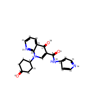 O=C1CCC(n2cc(C(=O)Nc3ccncc3)c(=O)c3cccnc32)CC1